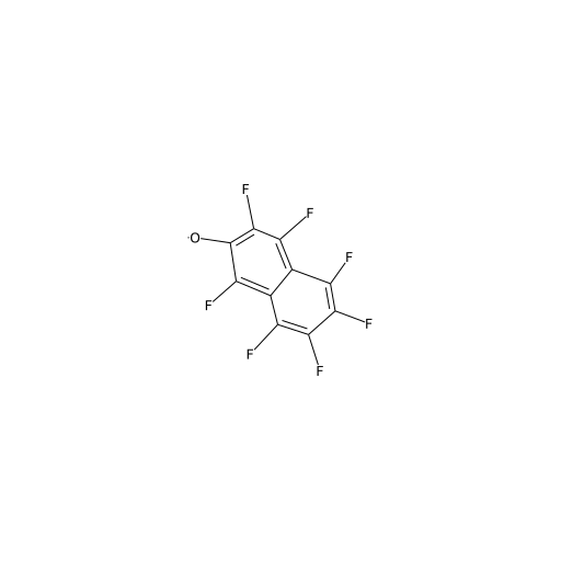 [O]c1c(F)c(F)c2c(F)c(F)c(F)c(F)c2c1F